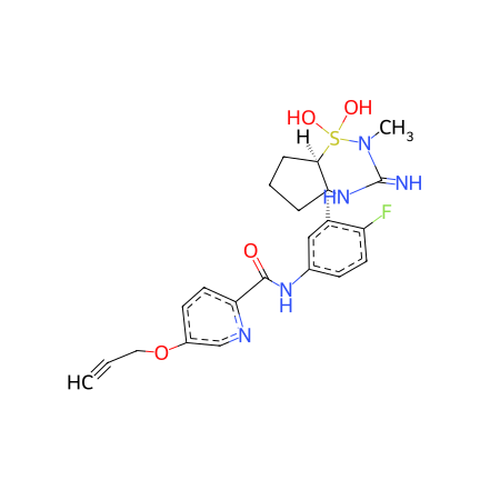 C#CCOc1ccc(C(=O)Nc2ccc(F)c([C@]34CCC[C@H]3S(O)(O)N(C)C(=N)N4)c2)nc1